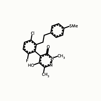 CSc1ccc(CCc2c(Cl)ccc(F)c2-c2c(O)c(C)nn(C)c2=O)cc1